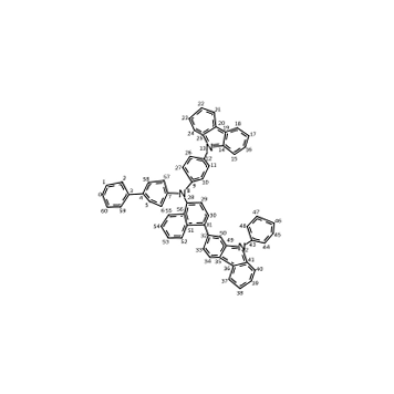 c1ccc(-c2ccc(N(c3ccc(-n4c5ccccc5c5ccccc54)cc3)c3ccc(-c4ccc5c6ccccc6n(-c6ccccc6)c5c4)c4ccccc34)cc2)cc1